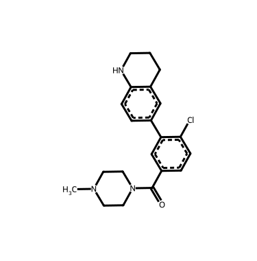 CN1CCN(C(=O)c2ccc(Cl)c(-c3ccc4c(c3)CCCN4)c2)CC1